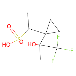 CC(C1(C(C)(O)C(F)(F)F)CC1)S(=O)(=O)O